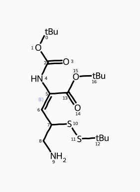 CC(C)(C)OC(=O)N/C(=C/C(CN)SSC(C)(C)C)C(=O)OC(C)(C)C